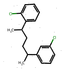 CC(CCC(C)c1ccccc1Cl)c1cccc(Cl)c1